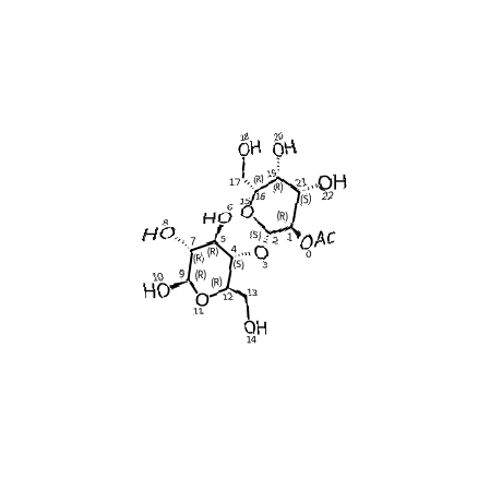 CC(=O)O[C@H]1[C@H](O[C@H]2[C@H](O)[C@@H](O)[C@H](O)O[C@@H]2CO)O[C@H](CO)[C@H](O)[C@@H]1O